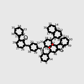 c1ccc(N(c2ccc(-c3cccc4ccccc34)cc2)c2ccc(-c3cccc4c3oc3ccccc34)cc2)c(-c2ccc3c(c2)sc2ccccc23)c1